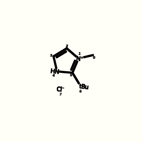 C[n+]1cc[nH]c1C(C)(C)C.[Cl-]